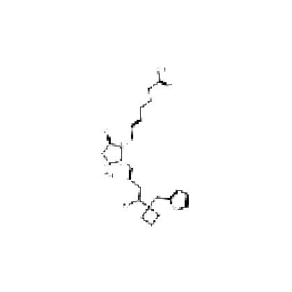 O=C(O)CCCC=CC[C@H]1C(=O)C[C@@H](O)[C@@H]1C=CCC(O)C1(Cc2cccs2)CCC1